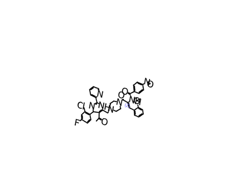 COc1ccccc1/C=C(\NC(=O)c1ccc(N=O)cc1)C(=O)N1CCN(CC2=C(C(C)=O)C(c3ccc(F)cc3Cl)N=C(c3ccccn3)N2)CC1